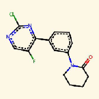 O=C1CCCCN1c1cccc(-c2nc(Cl)ncc2F)c1